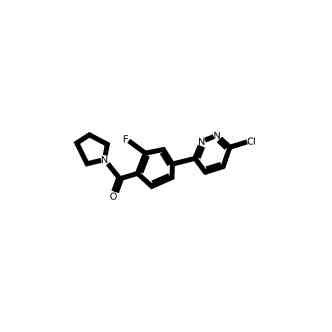 O=C(c1ccc(-c2ccc(Cl)nn2)cc1F)N1CCCC1